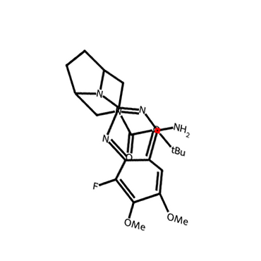 COc1cc2c(N)nc(N3C4CCC3CN(C(=O)OC(C)(C)C)C4)nc2c(F)c1OC